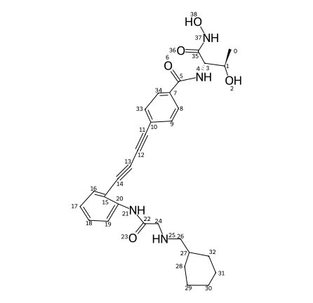 C[C@@H](O)[C@H](NC(=O)c1ccc(C#CC#Cc2ccccc2NC(=O)CNCC2CCCCC2)cc1)C(=O)NO